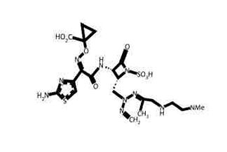 C=NN(C[C@@H]1[C@H](NC(=O)/C(=N\OC2(C(=O)O)CC2)c2csc(N)n2)C(=O)N1S(=O)(=O)O)/N=C(\C)CNCCNC